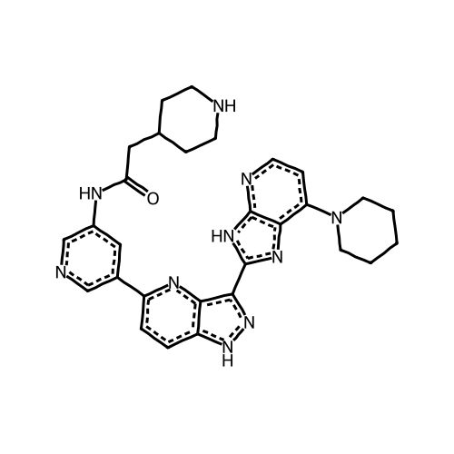 O=C(CC1CCNCC1)Nc1cncc(-c2ccc3[nH]nc(-c4nc5c(N6CCCCC6)ccnc5[nH]4)c3n2)c1